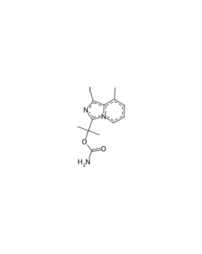 Cc1cccn2c(C(C)(C)OC(N)=O)nc(I)c12